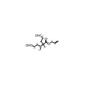 C=CCOC(=O)[C@@](C)(CCC=O)N(C)CCC=O